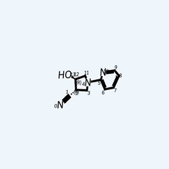 N#C[C@H]1CN(c2cc[c]cn2)C[C@@H]1O